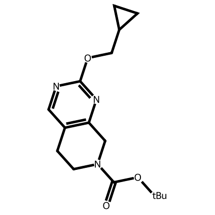 CC(C)(C)OC(=O)N1CCc2cnc(OCC3CC3)nc2C1